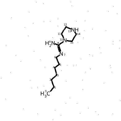 CCCCCCCN=C(N)N1CCNCC1